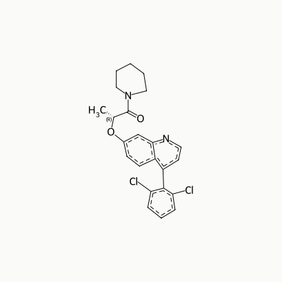 C[C@@H](Oc1ccc2c(-c3c(Cl)cccc3Cl)ccnc2c1)C(=O)N1CCCCC1